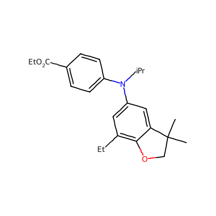 CCOC(=O)c1ccc(N(c2cc(CC)c3c(c2)C(C)(C)CO3)C(C)C)cc1